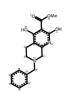 COC(=O)c1c(O)nc2c(c1O)CCN(Cc1ccccc1)C2